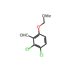 COCOc1ccc(Cl)c(Cl)c1C=O